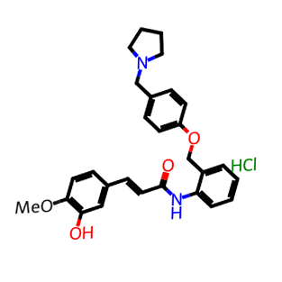 COc1ccc(/C=C/C(=O)Nc2ccccc2COc2ccc(CN3CCCC3)cc2)cc1O.Cl